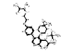 Cc1ncc(-c2ccc(OCCO[C@@H](C)C(C)Cl)nc2)c(N2CCC(C)(C)CC2)c1[C@H](OC(C)(C)C)C(=O)O